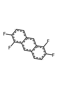 Fc1[c]cc2cc3c(F)c(F)[c]cc3cc2c1F